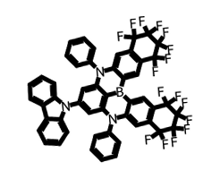 FC1(F)c2cc3c(cc2C(F)(F)C(F)(F)C1(F)F)N(c1ccccc1)c1cc(-n2c4ccccc4c4ccccc42)cc2c1B3c1cc3c(cc1N2c1ccccc1)C(F)(F)C(F)(F)C(F)(F)C3(F)F